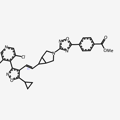 COC(=O)c1ccc(-c2nc(N3CC4C(/C=C/c5c(-c6c(Cl)cncc6Cl)noc5C5CC5)C4C3)no2)cc1